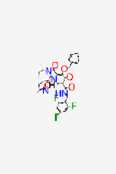 CC1=NO[C@@]2(CC[C@H](C)N3C[C@H]2n2cc(C(=O)NCc4c(F)cc(F)cc4F)c(=O)c(OCc4ccccc4)c2C3=O)C1